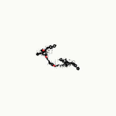 CC(=O)N[C@H]1[C@H]([C@H](O)[C@H](O)CNC(=O)c2ccc(-c3ccccc3)cc2)O[C@@](OCCCSCCNC(=O)c2ccc(C(=O)NCCSCCCO[C@]3(C(=O)O)C[C@H](OC(=O)c4ccccc4)[C@@H](NC(C)=O)[C@H]([C@H](O)[C@H](O)CNC(=O)c4ccc(-c5ccccc5)cc4)O3)cc2)(C(=O)O)C[C@@H]1OC(=O)c1ccccc1